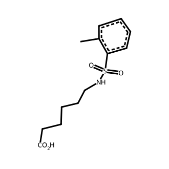 Cc1ccccc1S(=O)(=O)NCCCCCC(=O)O